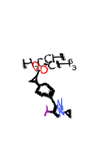 CC(C)(C)OC(=O)C1CC1c1ccc(-c2nn(C3CC3)cc2I)cc1